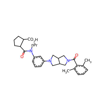 CCCN(C(=O)C1CCCC1C(=O)O)c1cccc(N2CC3CN(C(=O)c4c(C)cccc4C)CC3C2)c1